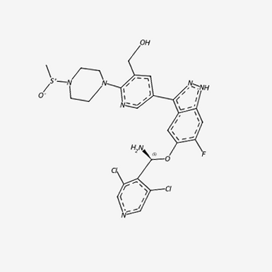 C[S+]([O-])N1CCN(c2ncc(-c3n[nH]c4cc(F)c(O[C@H](N)c5c(Cl)cncc5Cl)cc34)cc2CO)CC1